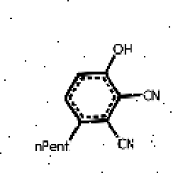 CCCCCc1ccc(O)c(C#N)c1C#N